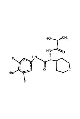 C[C@H](O)C(=O)N[C@@H](C(=O)Nc1cc(F)c(C(C)(C)C)c(F)c1)C1CCOCC1